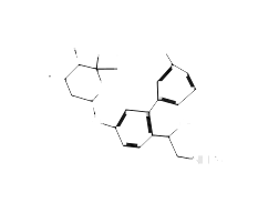 CC(=O)NCC(O)c1ccc(O[C@@H]2OC(C)(C)[C@H](C)[C@@H](O)[C@H]2O)cc1-c1cccc(F)c1